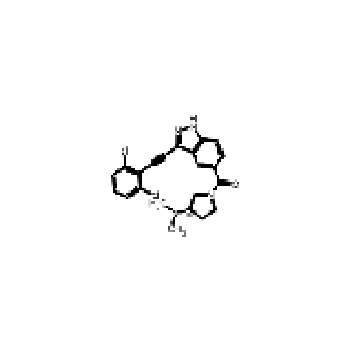 CN(C)[C@@H]1CCN(C(=O)c2ccc3[nH]nc(C#Cc4c(Cl)cccc4Cl)c3c2)C1